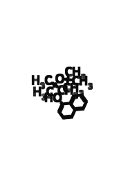 CC(C)(C)OC(C)(C)C.Oc1cccc2ccccc12